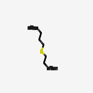 [CH2]CCCCCCCCCCCSCCCCCCCCCCC